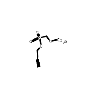 C#CCOS(=O)(=O)COC(=O)OCC